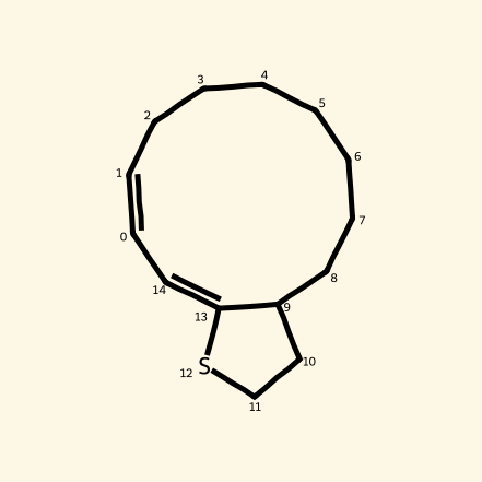 C1=CCCCCCCCC2CCSC2=C1